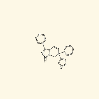 C1=CC(c2ccccc2)(c2ccsc2)Cc2[nH]nc(-c3cccnc3)c21